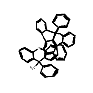 CC1(c2ccccc2)c2ccccc2Oc2cc(-c3ccccc3C3(c4ccccc4)c4ccccc4-c4ccc5ccccc5c43)ccc21